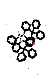 S=P(c1ccccc1)(N1c2ccccc2C(c2ccccc2)(c2ccccc2)c2ccccc21)N1c2ccccc2C(c2ccccc2)(c2ccccc2)c2ccccc21